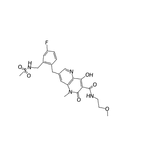 COCCNC(=O)c1c(O)c2ncc(Cc3ccc(F)cc3CNS(C)(=O)=O)cc2n(C)c1=O